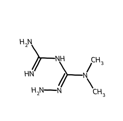 CN(C)C(=NN)NC(=N)N